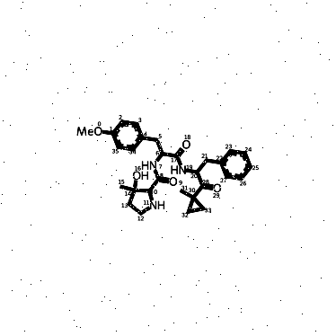 COc1ccc(CC(NC(=O)C2NCCC2(C)O)C(=O)NC(Cc2ccccc2)C(=O)C2(C)CC2)cc1